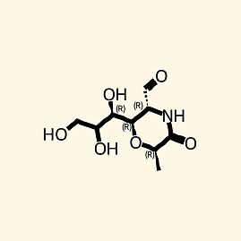 C[C@H]1O[C@@H]([C@H](O)C(O)CO)[C@H](C=O)NC1=O